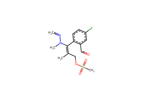 C=NN(C)/C(=C(\C)COS(C)(=O)=O)c1ccc(F)cc1C=O